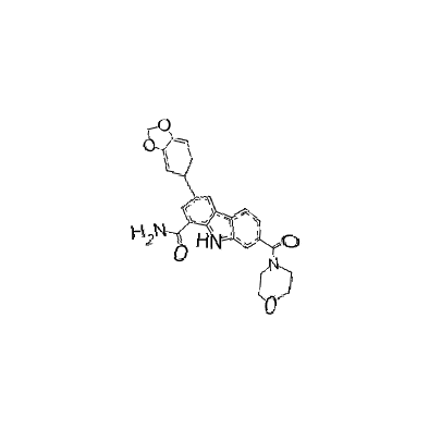 NC(=O)c1cc(C2C=C3OCOC3=CC2)cc2c1[nH]c1cc(C(=O)N3CCOCC3)ccc12